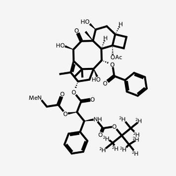 [2H]C([2H])([2H])C(OC(=O)N[C@@H](c1ccccc1)[C@@H](OC(=O)CNC)C(=O)O[C@H]1C[C@@]2(O)[C@@H](OC(=O)c3ccccc3)[C@@H]3[C@]4(OC(C)=O)CC[C@@H]4C[C@H](O)[C@@]3(C)C(=O)[C@H](O)C(=C1C)C2(C)C)(C([2H])([2H])[2H])C([2H])([2H])[2H]